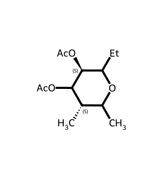 CCC1OC(C)[C@H](C)C(OC(C)=O)[C@H]1OC(C)=O